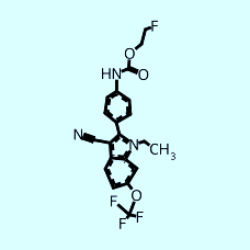 CCn1c(-c2ccc(NC(=O)OCCF)cc2)c(C#N)c2ccc(OC(F)(F)F)cc21